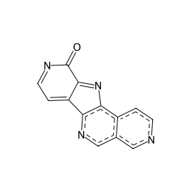 O=C1N=CC=C2C1=Nc1c2ncc2cnccc12